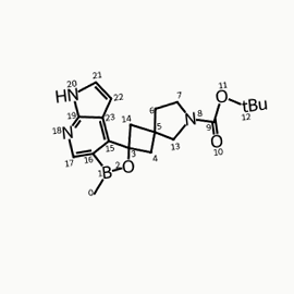 CB1OC2(CC3(CCN(C(=O)OC(C)(C)C)C3)C2)c2c1cnc1[nH]ccc21